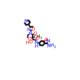 CC1(C(O)C(=O)Nc2ccc3c(N)noc3c2)OCCN(c2nc(-c3ccncc3)co2)C1=O